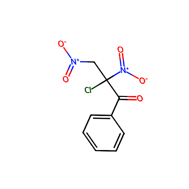 O=C(c1ccccc1)C(Cl)(C[N+](=O)[O-])[N+](=O)[O-]